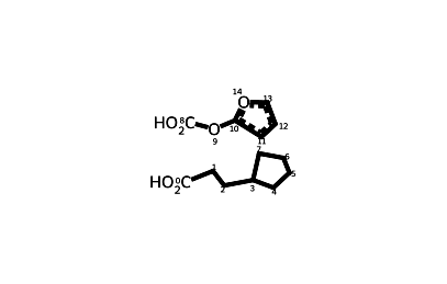 O=C(O)CCC1CCCC1.O=C(O)Oc1ccco1